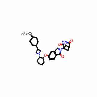 COC1CCC(C2CN([C@H]3CCCC[C@H]3Oc3ccc4c(c3)CN(C35CC(C3)C(=O)NC5=O)C4=O)C2)CC1